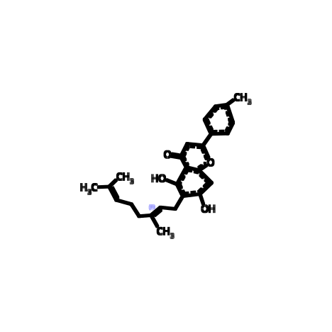 CC(C)=CCC/C(C)=C/Cc1c(O)cc2oc(-c3ccc(C)cc3)cc(=O)c2c1O